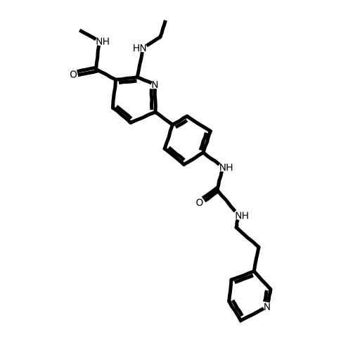 CCNc1nc(-c2ccc(NC(=O)NCCc3cccnc3)cc2)ccc1C(=O)NC